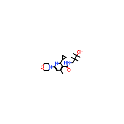 Cc1cc(N2CCOCC2)nc(C2CC2)c1C(=O)NCC(C)(C)C(C)(C)O